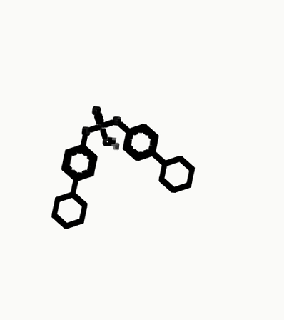 CP(=O)(Oc1ccc(C2CCCCC2)cc1)Oc1ccc(C2CCCCC2)cc1